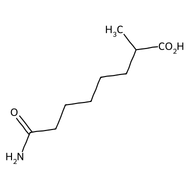 CC(CCCCCC(N)=O)C(=O)O